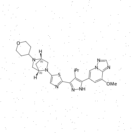 COc1cc(-c2[nH]nc(-c3ncc(N4C[C@@H]5C[C@H]4CN5C4CCOCC4)s3)c2C(C)C)cn2ncnc12